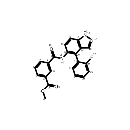 COC(=O)c1cccc(C(=O)Nc2ccc3[nH]ncc3c2-c2ccccc2F)c1